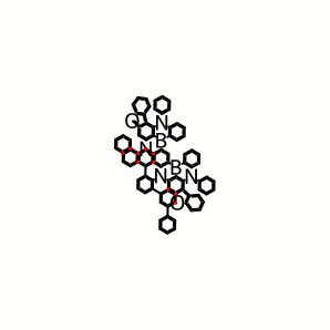 c1ccc(-c2cccc(-c3cccc(-c4cccc(-c5ccccc5)c4)c3N3c4cc5c(cc4B4c6ccccc6N(c6ccccc6)c6c4c3cc3oc4ccccc4c63)B3c4ccccc4N(c4ccccc4)c4c3c(cc3oc6ccccc6c43)N5c3ccccc3)c2)cc1